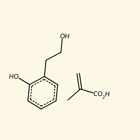 C=C(C)C(=O)O.OCCc1ccccc1O